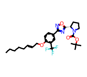 CCCCCC=CCOc1ccc(-c2noc([C@@H]3CCCN3C(=O)OC(C)(C)C)n2)cc1C(F)(F)F